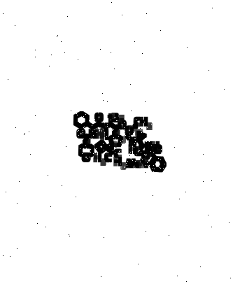 C=C[C@@H]1C[C@]1(NC(=O)[C@@H]1C[C@@]2(CN1C(=O)C(NC(=O)[C@@H](NC(=O)N1CCOCC1)C1CCCCC1)C(C)(C)C)C(C)(C)C21CCC1)C(=O)NS(=O)(=O)c1ccccc1NC